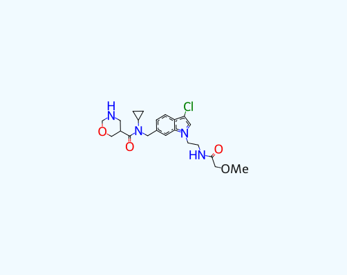 COCC(=O)NCCn1cc(Cl)c2ccc(CN(C(=O)C3CNCOC3)C3CC3)cc21